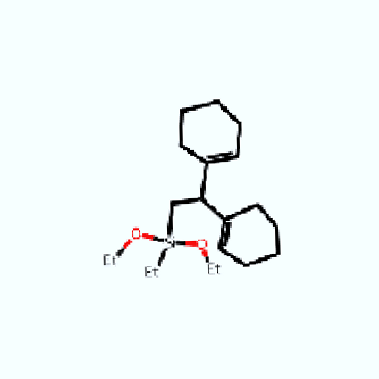 CCO[Si](CC)(CC(C1=CCCCC1)C1=CCCCC1)OCC